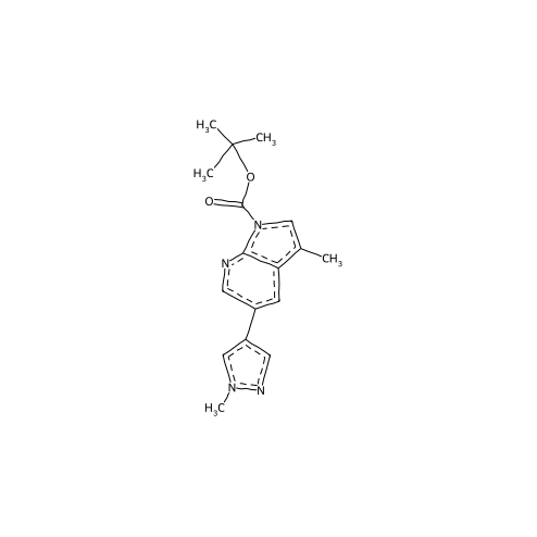 Cc1cn(C(=O)OC(C)(C)C)c2ncc(-c3cnn(C)c3)cc12